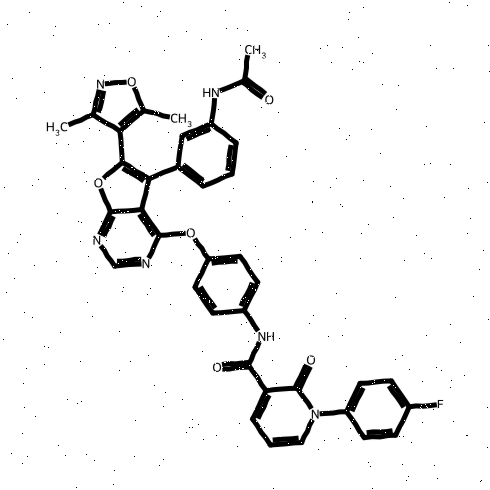 CC(=O)Nc1cccc(-c2c(-c3c(C)noc3C)oc3ncnc(Oc4ccc(NC(=O)c5cccn(-c6ccc(F)cc6)c5=O)cc4)c23)c1